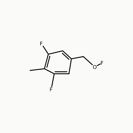 Cc1c(F)cc(COF)cc1F